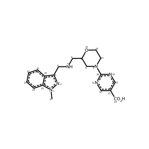 Cn1nc(CNCC2CN(c3ncc(C(=O)O)cn3)CCO2)c2ccccc21